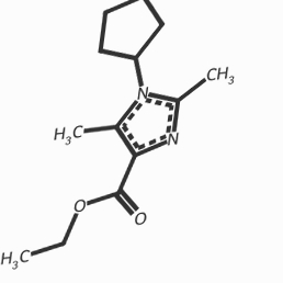 CCOC(=O)c1nc(C)n(C2CCCC2)c1C